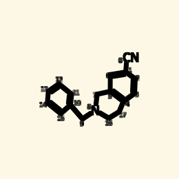 N#Cc1ccc2c(c1)CN(Cc1ccccc1)CC2